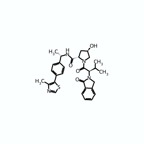 Cc1ncsc1-c1ccc([C@H](C)NC(=O)[C@@H]2C[C@@H](O)CN2C(=O)[C@@H](C(C)C)N2Cc3ccccc3C2=O)cc1